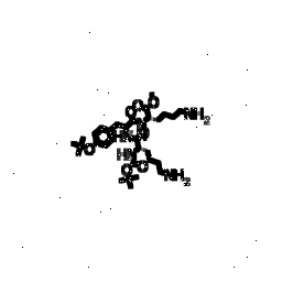 COC(=O)[C@H](CCCCN)NC(=O)C(Cc1ccc(OC(C)(C)C)cc1)NC(=O)[C@H](CCCCN)NC(=O)OC(C)(C)C